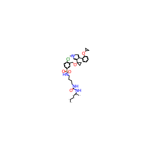 [CH2][CH][CH][CH][C@H]([CH2])NC(=O)NCCCCNS(=O)(=O)c1ccc(Cl)c(COC2(C3=CN(C)CC=C3c3ccccc3OC3CC3)CC2)c1